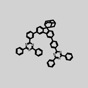 c1ccc(-c2nc(-c3ccccc3)nc(-c3ccc(-c4ccc5c(c4)-c4cc(-c6cccc(-c7nc(-c8ccccc8)nc(-c8ccccc8)n7)c6)ccc4C54C5CC6CC(C5)CC4C6)cc3)n2)cc1